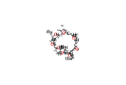 C=C1C2C[C@@H]3O[C@H](C[C@H](C)CC)[C@H](C)[C@H]3CC(=O)CC3CC[C@@H]4O[C@H]([C@@H](C)[C@@H](C)[C@H]4O3)[C@@H](O[Si](C)(C)C(C)(C)C)/C=C/C(=O)CC[C@H]3CC(=C)[C@H](CCC(C[C@H]1C)O2)O3